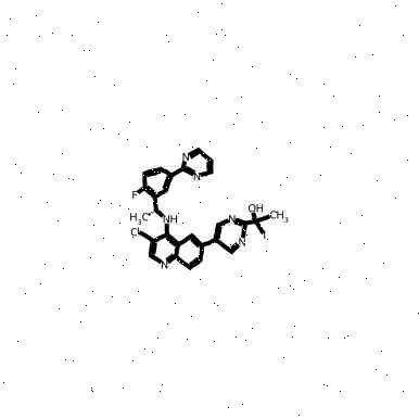 C[C@@H](Nc1c(Cl)cnc2ccc(-c3cnc(C(C)(O)I)nc3)cc12)c1cc(-c2ncccn2)ccc1F